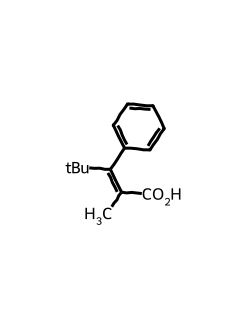 C/C(C(=O)O)=C(/c1ccccc1)C(C)(C)C